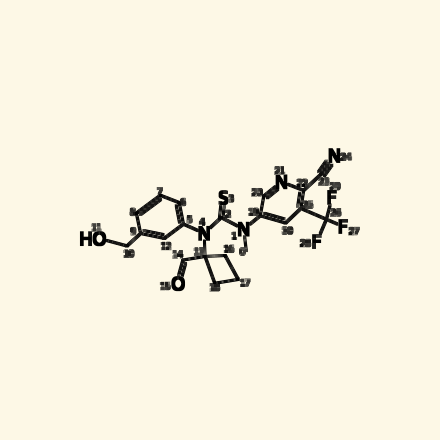 CN(C(=S)N(c1cccc(CO)c1)C1(C=O)CCC1)c1cnc(C#N)c(C(F)(F)F)c1